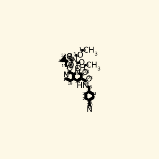 CCOCN(COCC)S(=O)(=O)C1(COc2nccc3cc(C(=O)NCc4ccc(C#N)cc4)c(=O)n(C)c23)CC1